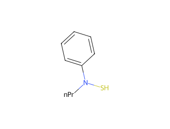 CCCN(S)c1ccccc1